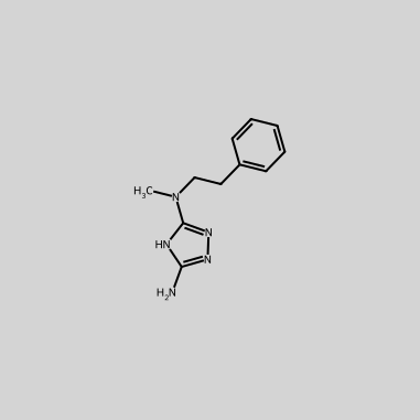 CN(CCc1ccccc1)c1nnc(N)[nH]1